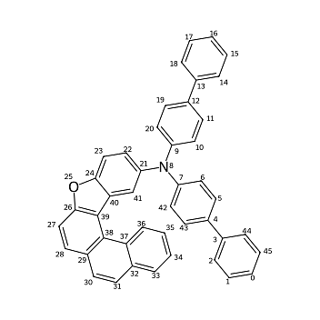 c1ccc(-c2ccc(N(c3ccc(-c4ccccc4)cc3)c3ccc4oc5ccc6ccc7ccccc7c6c5c4c3)cc2)cc1